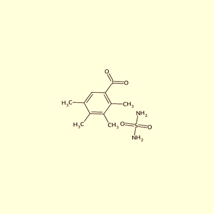 Cc1cc(I(=O)=O)c(C)c(C)c1C.NS(N)(=O)=O